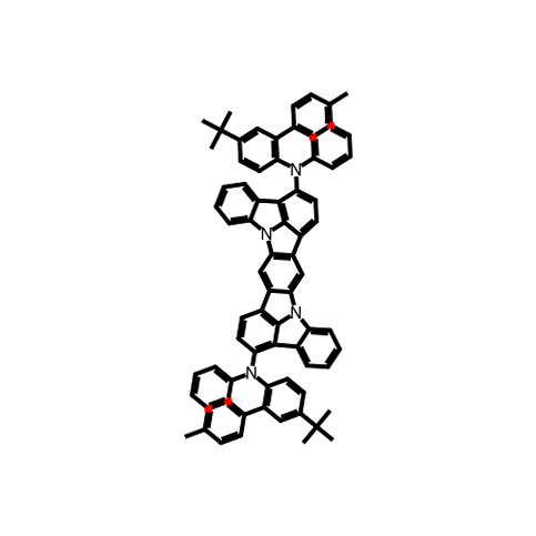 Cc1ccc(-c2cc(C(C)(C)C)ccc2N(c2ccccc2)c2ccc3c4cc5c(cc4n4c6ccccc6c2c34)c2ccc(N(c3ccccc3)c3ccc(C(C)(C)C)cc3-c3ccc(C)cc3)c3c4ccccc4n5c23)cc1